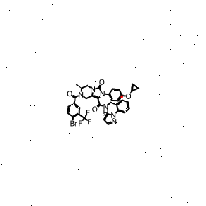 C[C@H]1Cn2c(c(C(=O)NCc3c(F)cccc3-n3cccn3)n(-c3ccc(OC4CC4)cc3)c2=O)CN1C(=O)c1ccc(Br)c(C(F)(F)F)c1